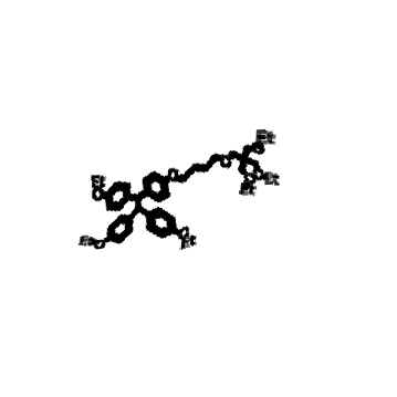 CCOCC(COCC)(COCC)COCCCCOc1ccc(C(c2ccc(OCC)cc2)C(c2ccc(OCC)cc2)c2ccc(OCC)cc2)cc1